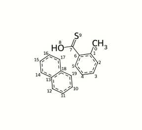 Cc1ccccc1C(O)=S.c1ccc2ccccc2c1